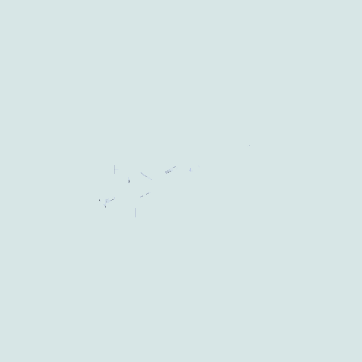 CC[C@H]1CC[C@H](/C=C/C#Cc2cc(F)c(C#N)c(F)c2)CC1